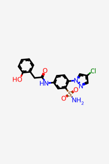 NS(=O)(=O)c1cc(NC(=O)Cc2ccccc2O)ccc1-n1cc(Cl)cn1